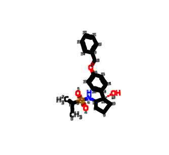 CC(C)S(=O)(=O)N[C@@H]1CCC[C@]1(O)c1ccc(OCc2ccccc2)cc1